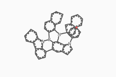 c1ccc(-n2ccc3cc4c5c(c32)N(c2ccc3ccccc3c2)c2c(ccc3ccccc23)B5n2c3ccccc3c3cccc-4c32)cc1